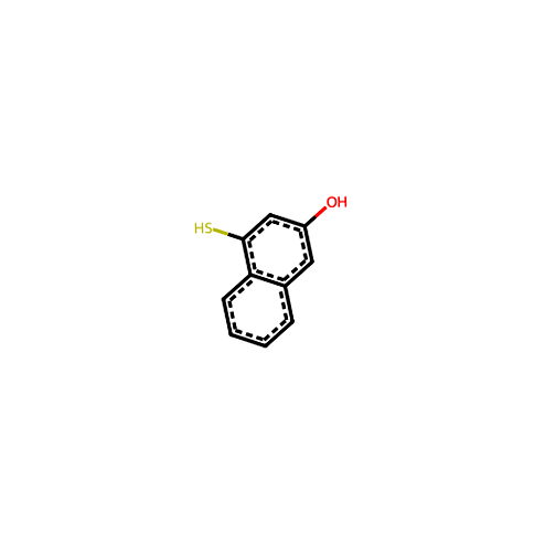 Oc1cc(S)c2ccccc2c1